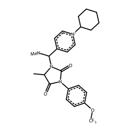 CNC(c1cc[n+](C2CCCCC2)cc1)N1C(=O)N(c2ccc(OC(F)(F)F)cc2)C(=O)C1C